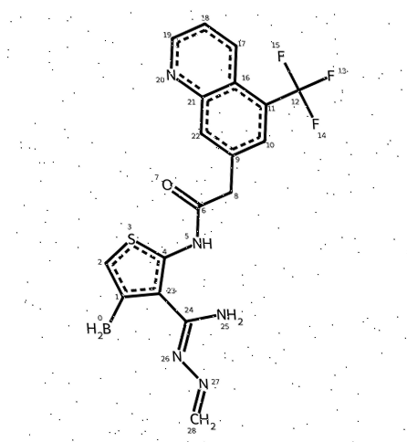 Bc1csc(NC(=O)Cc2cc(C(F)(F)F)c3cccnc3c2)c1/C(N)=N/N=C